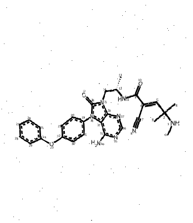 CNC(C)(C)C=C(C#N)C(=O)N[C@@H](C)Cn1c(=O)n(-c2ccc(Oc3ccccc3)cc2)c2c(N)ncnc21